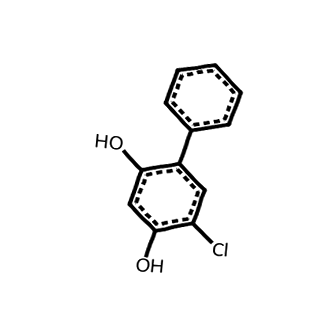 Oc1cc(O)c(-c2ccccc2)cc1Cl